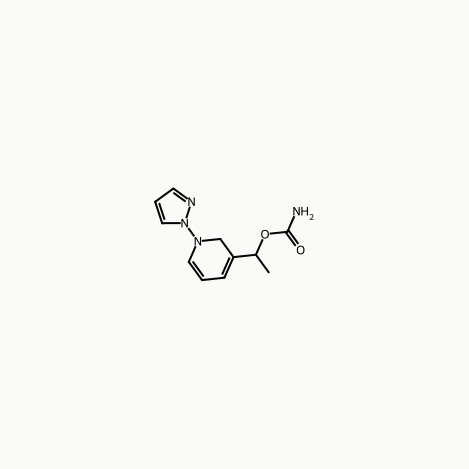 CC(OC(N)=O)C1=CC=CN(n2cccn2)C1